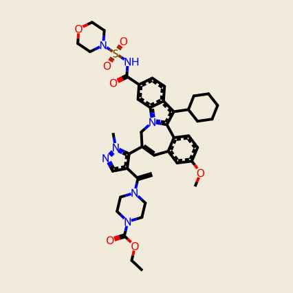 C=C(c1cnn(C)c1C1=Cc2cc(OC)ccc2-c2c(C3CCCCC3)c3ccc(C(=O)NS(=O)(=O)N4CCOCC4)cc3n2C1)N1CCN(C(=O)OCC)CC1